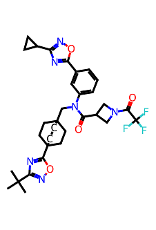 CC(C)(C)c1noc(C23CCC(CN(C(=O)C4CN(C(=O)C(F)(F)F)C4)c4cccc(-c5nc(C6CC6)no5)c4)(CC2)CC3)n1